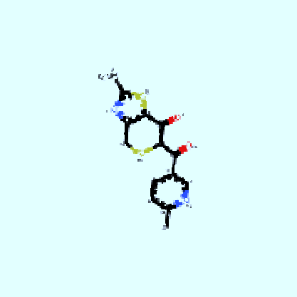 CC(=O)Nc1nc2c(s1)C(=O)C(C(=O)c1ccc(C)nc1)SC2